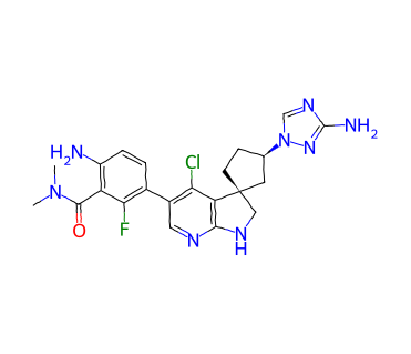 CN(C)C(=O)c1c(N)ccc(-c2cnc3c(c2Cl)[C@@]2(CC[C@@H](n4cnc(N)n4)C2)CN3)c1F